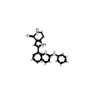 O=C1NCCc2[nH]c(-c3cccc4ccc(Oc5ccccc5)nc34)cc21